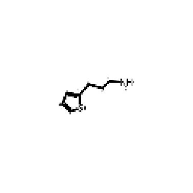 [NH]CCCc1cccs1